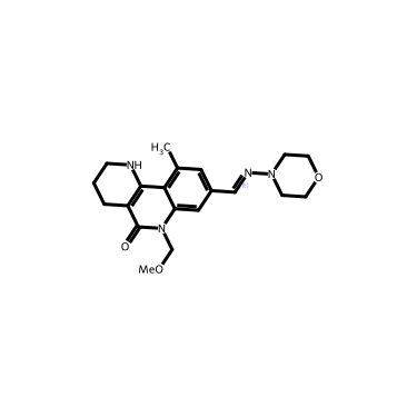 COCn1c(=O)c2c(c3c(C)cc(/C=N/N4CCOCC4)cc31)NCCC2